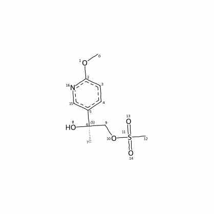 COc1ccc([C@](C)(O)COS(C)(=O)=O)cn1